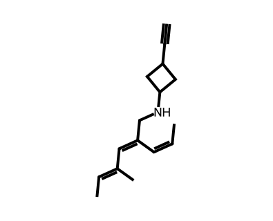 C#CC1CC(NCC(/C=C\C)=C/C(C)=C/C)C1